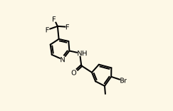 Cc1cc(C(=O)Nc2cc(C(F)(F)F)ccn2)ccc1Br